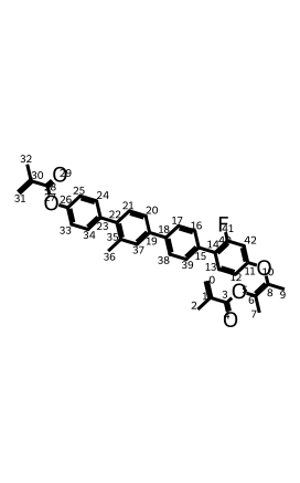 C=C(C)C(=O)OC(C)=C(C)Oc1ccc(-c2ccc(-c3ccc(-c4ccc(OC(=O)C(=C)C)cc4)c(C)c3)cc2)c(F)c1